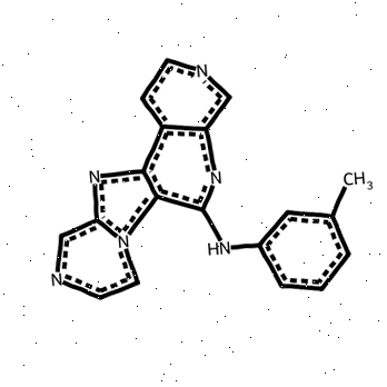 Cc1cccc(Nc2nc3cnccc3c3nc4cnccn4c23)c1